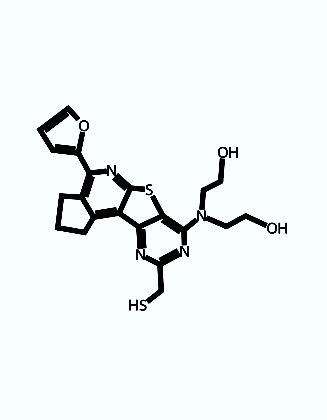 OCCN(CCO)c1nc(CS)nc2c1sc1nc(-c3ccco3)c3c(c12)CCC3